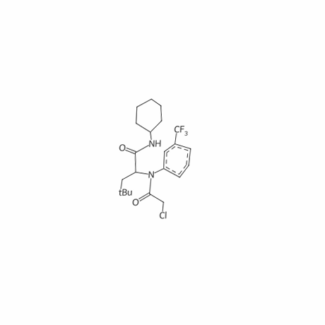 CC(C)(C)CC(C(=O)NC1CCCCC1)N(C(=O)CCl)c1cccc(C(F)(F)F)c1